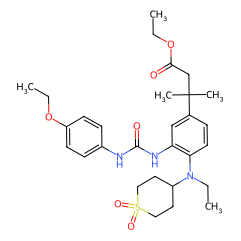 CCOC(=O)CC(C)(C)c1ccc(N(CC)C2CCS(=O)(=O)CC2)c(NC(=O)Nc2ccc(OCC)cc2)c1